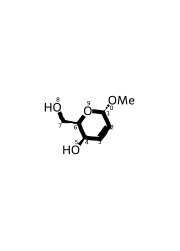 CO[C@@H]1C=C[C@@H](O)[C@@H](CO)O1